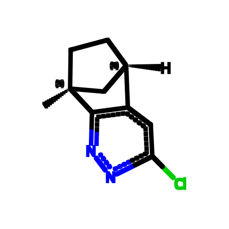 C[C@]12CC[C@H](C1)c1cc(Cl)nnc12